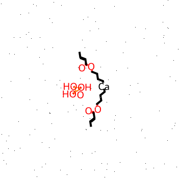 CC=CC(=O)OCCC[CH2][Ca][CH2]CCCOC(=O)C=CC.O=P(O)(O)O